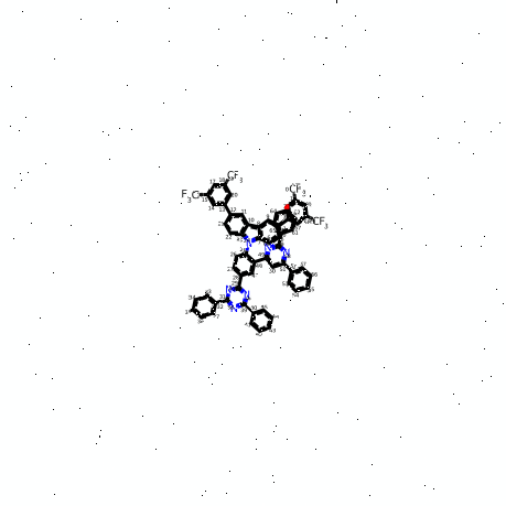 FC(F)(F)c1cc(-c2ccc3c(c2)c2cc(-c4cc(C(F)(F)F)cc(C(F)(F)F)c4)ccc2n3-c2ccc(-c3nc(-c4ccccc4)nc(-c4ccccc4)n3)cc2-c2cc(-c3ccccc3)nc(-c3ccccc3)n2)cc(C(F)(F)F)c1